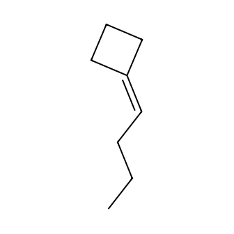 CCCC=C1CCC1